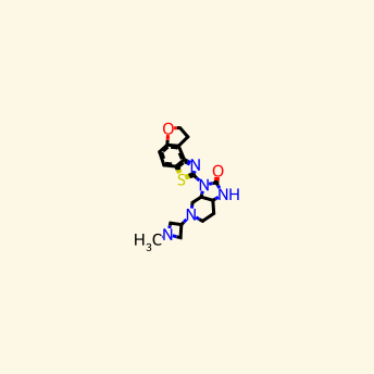 CN1CC(N2CCC3NC(=O)N(c4nc5c6c(ccc5s4)OCC6)C3C2)C1